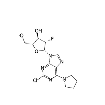 [O]C[C@H]1O[C@@H](n2cnc3c(N4CCCC4)nc(Cl)nc32)[C@@H](F)[C@@H]1O